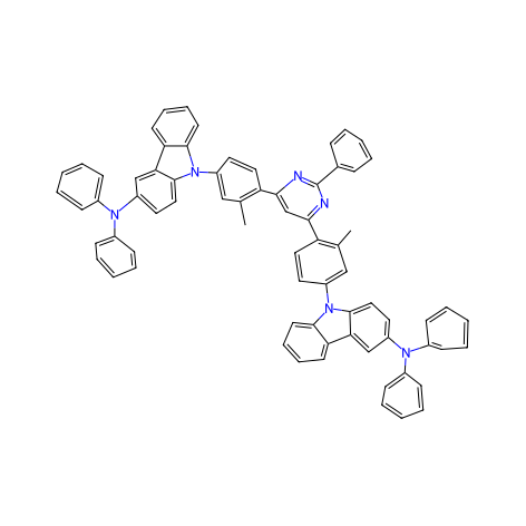 Cc1cc(-n2c3ccccc3c3cc(N(c4ccccc4)c4ccccc4)ccc32)ccc1-c1cc(-c2ccc(-n3c4ccccc4c4cc(N(c5ccccc5)c5ccccc5)ccc43)cc2C)nc(-c2ccccc2)n1